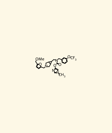 COCc1ccc(CN2CC3C(C2)C3CN(Cc2cccc(OC(F)(F)F)c2)C(=O)Oc2cn(C)cn2)o1